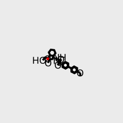 COC(=O)CC1(NN(C)S(=O)(=O)c2ccc(-c3ccc(OC)cc3)cc2)CCCCC1CCO